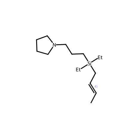 C/C=C/C[Si](CC)(CC)CCCN1CCCC1